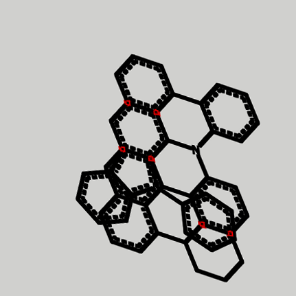 c1ccc(-c2ccccc2N(c2ccccc2-c2cccc3cccc(C4CCCCC4)c23)c2cccc3c4ccccc4n(-c4ccccc4)c23)cc1